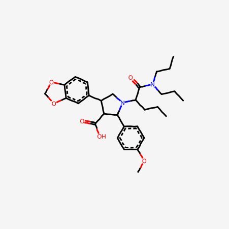 CCCC(C(=O)N(CCC)CCC)N1CC(c2ccc3c(c2)OCO3)C(C(=O)O)C1c1ccc(OC)cc1